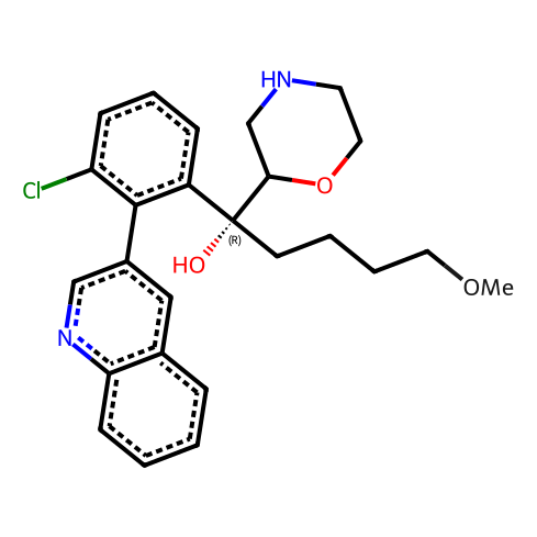 COCCCC[C@@](O)(c1cccc(Cl)c1-c1cnc2ccccc2c1)C1CNCCO1